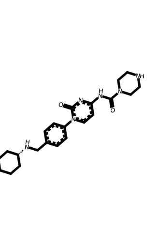 N[C@H]1CC[C@H](NCc2ccc(-n3ccc(NC(=O)N4CCNCC4)nc3=O)cc2)CC1